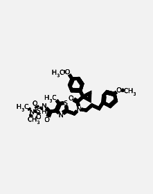 COc1ccc(CCCN(Cc2nc(C(=O)NS(=O)(=O)N(C)C)c(C)s2)C(=O)C2(c3ccc(OC)cc3)CC2)cc1